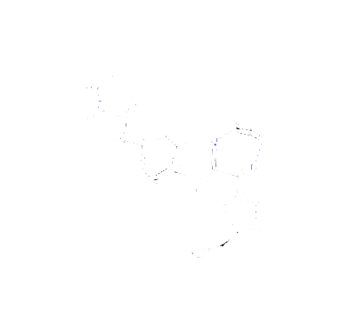 OC[C@@H]1CCN(c2nccnc2Oc2ccc(Nc3ccccn3)cc2)C1